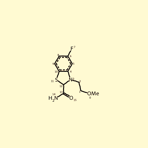 COCCN1c2cc(F)ccc2SC1C(N)=O